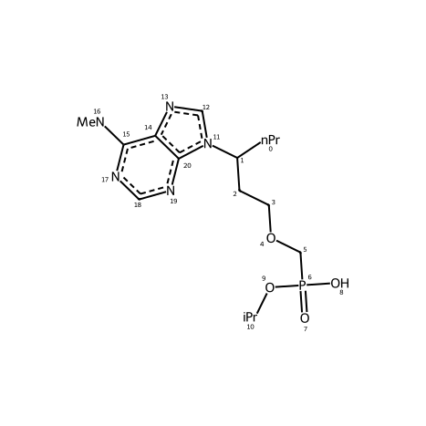 CCCC(CCOCP(=O)(O)OC(C)C)n1cnc2c(NC)ncnc21